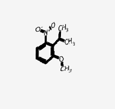 COc1cccc([N+](=O)[O-])c1C(C)C